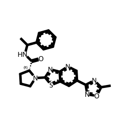 Cc1nc(-c2cnc3nc(N4CCC[C@@H]4C(=O)NC(C)c4ccccc4)sc3c2)no1